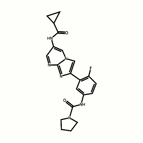 O=C(Nc1cnc2nc(-c3cc(NC(=O)N4CCCC4)ccc3F)cn2c1)C1CC1